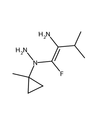 CC(C)/C(N)=C(\F)N(N)C1(C)CC1